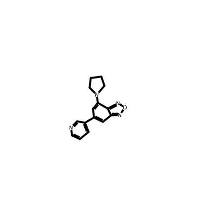 c1cncc(-c2cc(N3CCCC3)c3nonc3c2)c1